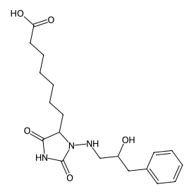 O=C(O)CCCCCCC1C(=O)NC(=O)N1NCC(O)Cc1ccccc1